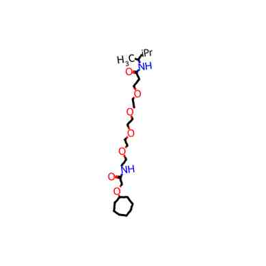 CC(C)C(C)NC(=O)CCOCCOCCOCCOCCNC(=O)COC1CCCCCCC1